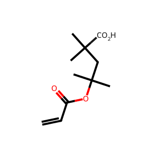 C=CC(=O)OC(C)(C)CC(C)(C)C(=O)O